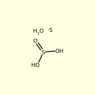 O.O=S(O)O.[S]